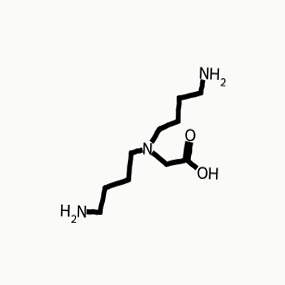 NCCCCN(CCCCN)CC(=O)O